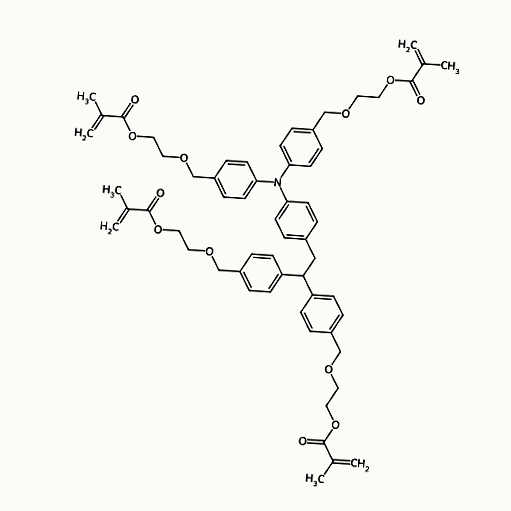 C=C(C)C(=O)OCCOCc1ccc(C(Cc2ccc(N(c3ccc(COCCOC(=O)C(=C)C)cc3)c3ccc(COCCOC(=O)C(=C)C)cc3)cc2)c2ccc(COCCOC(=O)C(=C)C)cc2)cc1